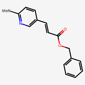 CNc1ccc(/C=C/C(=O)OCc2ccccc2)cn1